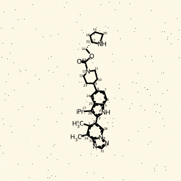 Cc1c(-c2[nH]c3ccc(C4CCN(C(=O)OC[C@@H]5CCCN5)CC4)cc3c2C(C)C)cn2ncnc2c1C